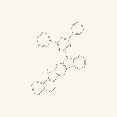 CC1(C)c2cc3c(cc2-c2ccc4ccccc4c21)c1ccccc1n3-c1nc(-c2ccccc2)cc(-c2ccccc2)n1